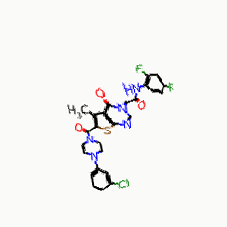 Cc1c(C(=O)N2CCN(c3cccc(Cl)c3)CC2)sc2ncn(CC(=O)Nc3ccc(F)cc3F)c(=O)c12